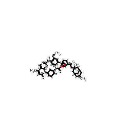 COc1cc(N2CC3CCC2CN3C(=O)CC2(C)CC3CC(C)CC(C3)C2)ccc1Nc1ncc2c(C)cc(=O)n(-c3cccc(NC(=O)C4CC4)c3)c2n1